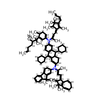 C=C/C=C\C1=C(C)C(=C/C=C(\C)N(C2=CCC(C)C(C(C)(C)C(C)CCC=C)=C2)c2ccc3c(c2)C(C2CCCCC2)C2CCC(N(/C(C)=C/C=C4\C(=C)C(C)(C)C5=C4C=CCC=C5)C4C=C5C(=CC4)c4ccccc4C5(C)C)=CC2=C3C2CCCCC2)/C(C)C1(C)C